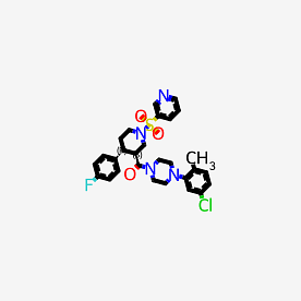 Cc1ccc(Cl)cc1N1CCN(C(=O)[C@@H]2CN(S(=O)(=O)c3cccnc3)CC[C@H]2c2ccc(F)cc2)CC1